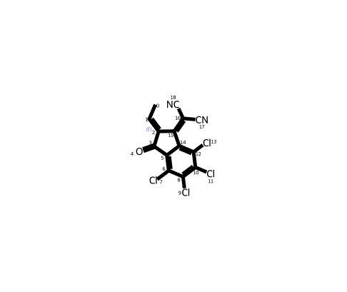 C/C=C1/C(=O)c2c(Cl)c(Cl)c(Cl)c(Cl)c2C1=C(C#N)C#N